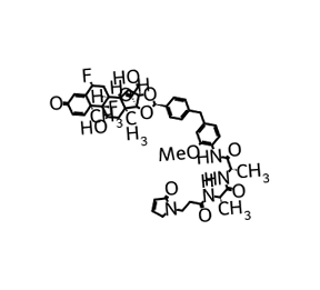 COc1cc(Cc2ccc([C@@H]3O[C@@H]4C[C@H]5[C@@H]6C[C@H](F)C7=CC(=O)C=C[C@]7(C)[C@@]6(F)[C@@H](O)C[C@]5(C)[C@]4(C(=O)CO)O3)cc2)ccc1NC(=O)[C@H](C)NC(=O)[C@H](C)NC(=O)CCN1CC=CC1=O